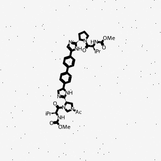 COC(=O)N[C@H](C(=O)N1CN(C(C)=O)C[C@H]1C1=NCC(c2ccc(-c3ccc(-c4cnc([C@@H]5CCCN5C(=O)[C@@H](NC(=O)OC)C(C)C)[nH]4)cc3)cc2)N1)C(C)C